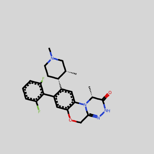 C[C@@H]1C(=O)NN=C2COc3cc(-c4c(F)cccc4F)c([C@@H]4CCN(C)C[C@@H]4C)cc3N21